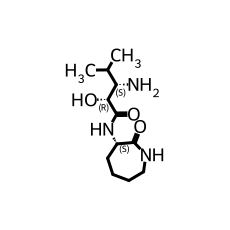 CC(C)[C@H](N)[C@@H](O)C(=O)N[C@H]1CCCCNC1=O